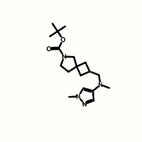 CN(CC1CC2(CCN(C(=O)OC(C)(C)C)C2)C1)c1cnn(C)c1